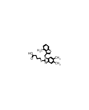 Cc1cc2nc(SCCCC(=O)O)n(Cc3csc4cccc(C)c34)c2cc1C